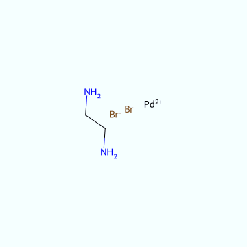 NCCN.[Br-].[Br-].[Pd+2]